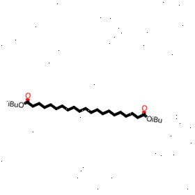 CC(C)COC(=O)CCCCCCCCCCCCCCCCCCCC(=O)OCC(C)C